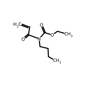 C=CC(=O)N(CCCC)C(=O)OCC